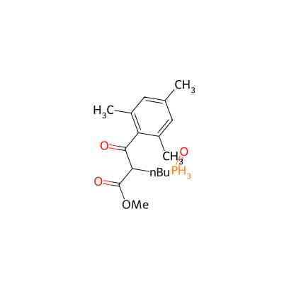 CCCCC(C(=O)OC)C(=O)c1c(C)cc(C)cc1C.O=[PH3]